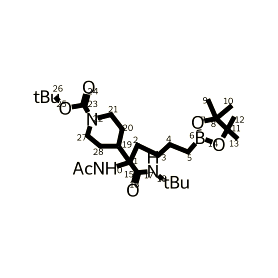 CC(=O)NC(CCCCB1OC(C)(C)C(C)(C)O1)(C(=O)NC(C)(C)C)C1CCN(C(=O)OC(C)(C)C)CC1